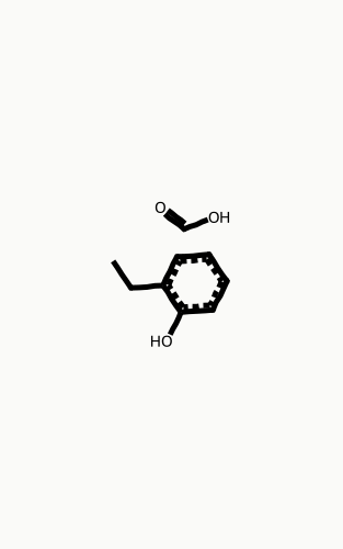 CCc1ccccc1O.O=CO